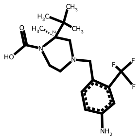 CC(C)(C)[C@@]1(C)CN(Cc2ccc(N)cc2C(F)(F)F)CCN1C(=O)O